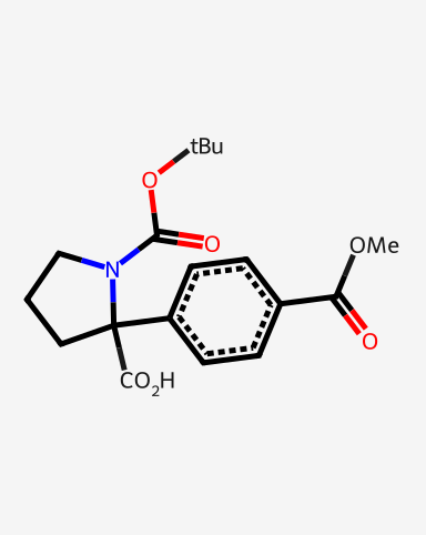 COC(=O)c1ccc(C2(C(=O)O)CCCN2C(=O)OC(C)(C)C)cc1